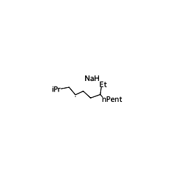 CCCCCC(CC)CC[CH]CC(C)C.[NaH]